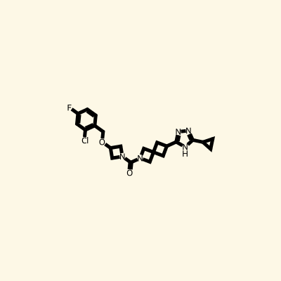 O=C(N1CC(OCc2ccc(F)cc2Cl)C1)N1CC2(CC(c3nnc(C4CC4)[nH]3)C2)C1